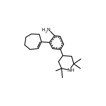 CC1(C)CC(c2ccc(N)c(C3=CCCCCC3)c2)CC(C)(C)N1